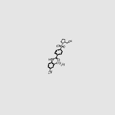 N#Cc1ccc(NC(=O)c2ccc(S(=O)(=O)N3CCCC3CO)cc2)c(C(=O)O)c1